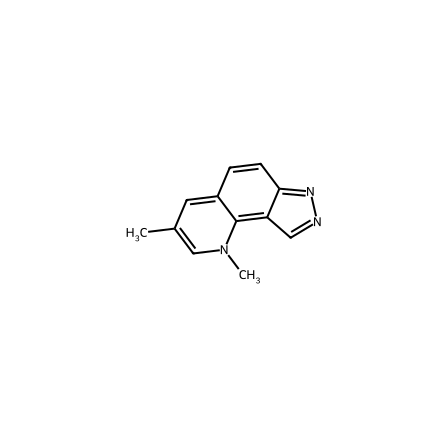 Cc1cc2ccc3nncc3c2n(C)c1